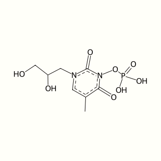 Cc1cn(CC(O)CO)c(=O)n(OP(=O)(O)O)c1=O